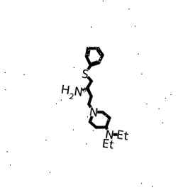 CCN(CC)C1CCN(CC[C@@H](N)CSc2ccccc2)CC1